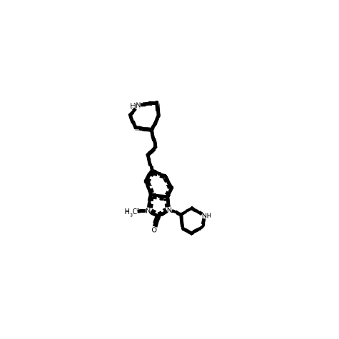 Cn1c(=O)n(C2CCCNC2)c2ccc(CCC3CCNCC3)cc21